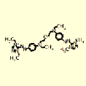 CCN(CCOCCN(CC)c1ccc(/N=N/c2n(CC)nc[n+]2CC)cc1)c1ccc(/N=N/c2n(C)nc[n+]2C)cc1